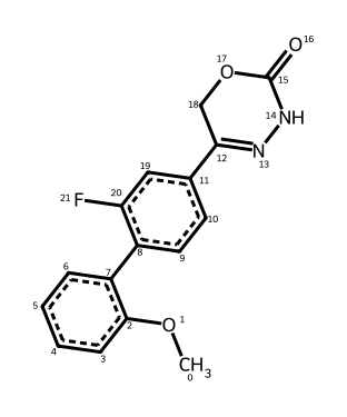 COc1ccccc1-c1ccc(C2=NNC(=O)OC2)cc1F